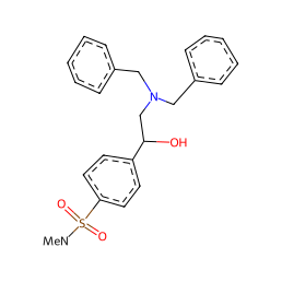 CNS(=O)(=O)c1ccc(C(O)CN(Cc2ccccc2)Cc2ccccc2)cc1